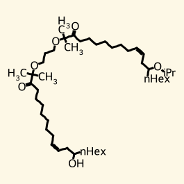 CCCCCCC(O)C/C=C\CCCCCCCC(=O)C(C)(C)OCCCOC(C)(C)C(=O)CCCCCCC/C=C\CC(CCCCCC)OC(C)C